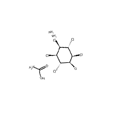 Cl[C@H]1[C@H](Cl)[C@@H](Cl)[C@@H](Cl)[C@H](Cl)[C@H]1Cl.N.N.NC(=O)O